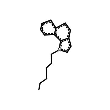 CCCCCCn1ccc2ccc3ccccc3c21